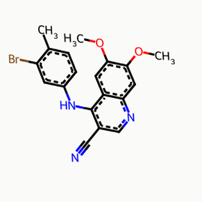 COc1cc2ncc(C#N)c(Nc3ccc(C)c(Br)c3)c2cc1OC